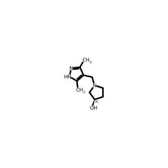 Cc1n[nH]c(C)c1CN1CC[C@@H](O)C1